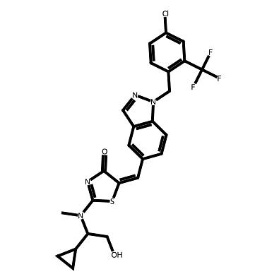 CN(C1=NC(=O)C(=Cc2ccc3c(cnn3Cc3ccc(Cl)cc3C(F)(F)F)c2)S1)C(CO)C1CC1